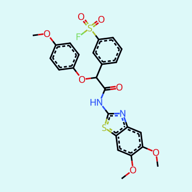 COc1ccc(OC(C(=O)Nc2nc3cc(OC)c(OC)cc3s2)c2cccc(S(=O)(=O)F)c2)cc1